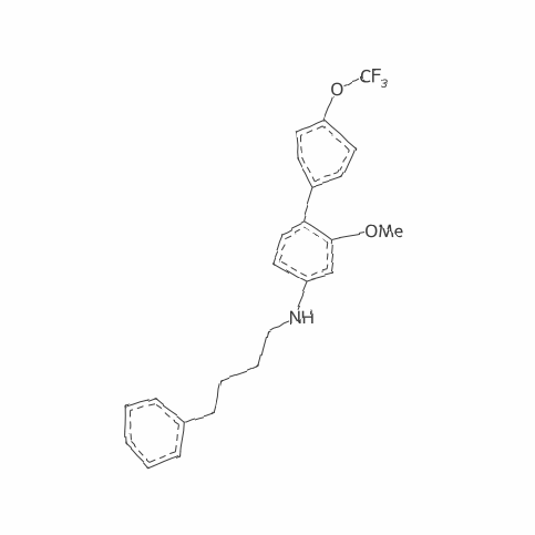 COc1cc(NCCCCc2ccccc2)ccc1-c1ccc(OC(F)(F)F)cc1